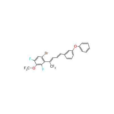 Fc1cc(Br)c(C(=CC=Cc2cccc(Oc3ccccc3)c2)C(F)(F)F)c(F)c1OC(F)(F)F